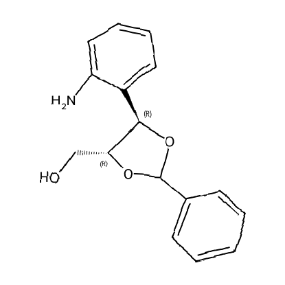 Nc1ccccc1[C@H]1OC(c2ccccc2)O[C@@H]1CO